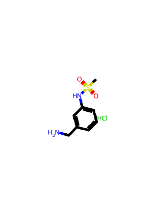 CS(=O)(=O)Nc1cccc(CN)c1.Cl